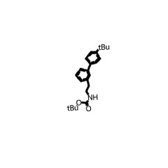 CC(C)(C)OC(=O)NCCc1cccc(-c2ccc(C(C)(C)C)cc2)c1